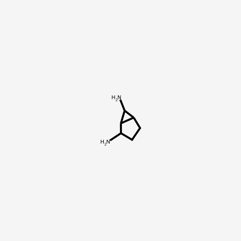 NC1CCC2C(N)C12